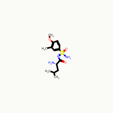 COc1ccc(S(N)(=O)=NC(=O)[C@@H](N)CC(C)C)cc1C